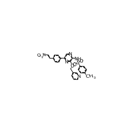 Cc1ccc(S(=O)(=O)Nc2ncc(-c3ccc(C=C[N+](=O)[O-])cc3)nc2OCc2cccnc2)cc1